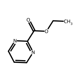 CCOC(=O)c1ncccn1